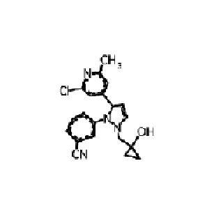 Cc1cc(C2C=CN(CC3(O)CC3)N2c2cccc(C#N)c2)cc(Cl)n1